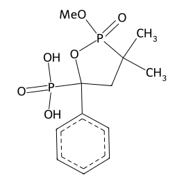 COP1(=O)OC(c2ccccc2)(P(=O)(O)O)CC1(C)C